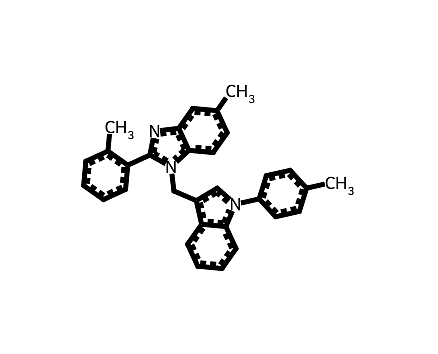 Cc1ccc(-n2cc(Cn3c(-c4ccccc4C)nc4cc(C)ccc43)c3ccccc32)cc1